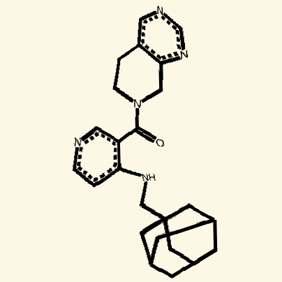 O=C(c1cnccc1NCC12CC3CC(CC(C3)C1)C2)N1CCc2cncnc2C1